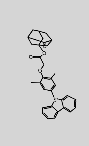 Cc1cc(-[s+]2c3ccccc3c3ccccc32)cc(C)c1OCC(=O)OC12CC3CC(C1)C(=O)C(C3)C2